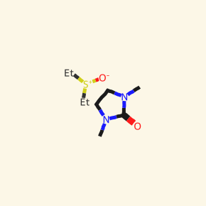 CC[S+]([O-])CC.CN1CCN(C)C1=O